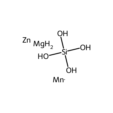 O[Si](O)(O)O.[MgH2].[Mn].[Zn]